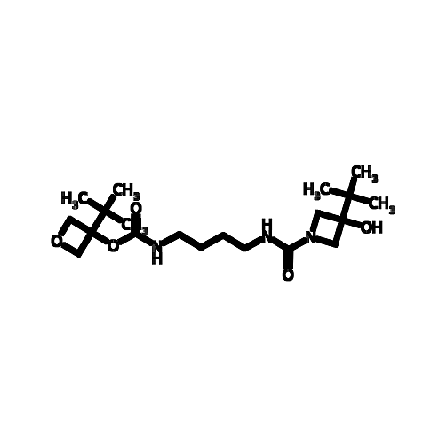 CC(C)(C)C1(O)CN(C(=O)NCCCCNC(=O)OC2(C(C)(C)C)COC2)C1